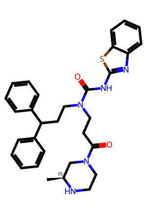 C[C@H]1CN(C(=O)CCN(CCC(c2ccccc2)c2ccccc2)C(=O)Nc2nc3ccccc3s2)CCN1